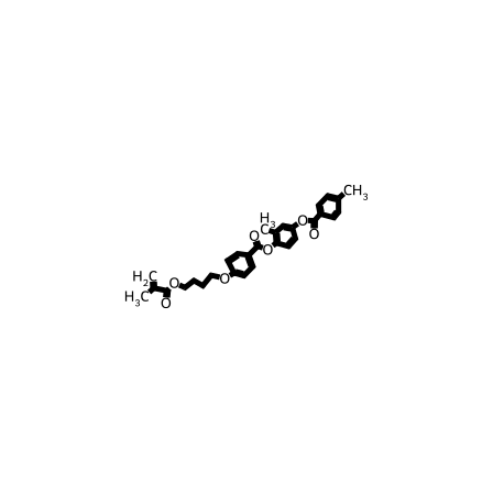 C=C(C)C(=O)OCCCCOc1ccc(C(=O)Oc2ccc(OC(=O)c3ccc(C)cc3)cc2C)cc1